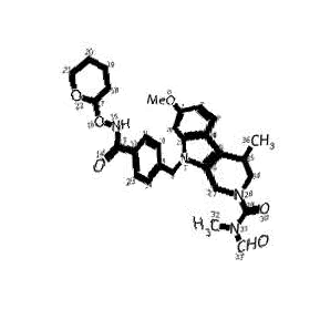 COc1ccc2c3c(n(Cc4ccc(C(=O)NOC5CCCCO5)cc4)c2c1)CN(C(=O)N(C)C=O)CC3C